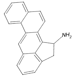 NC1Cc2cccc3cc4c(ccc5ccccc54)c1c23